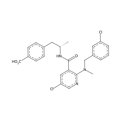 C[C@@H](Cc1ccc(C(=O)O)cc1)NC(=O)c1cc(Cl)cnc1N(C)Cc1cccc(Cl)c1